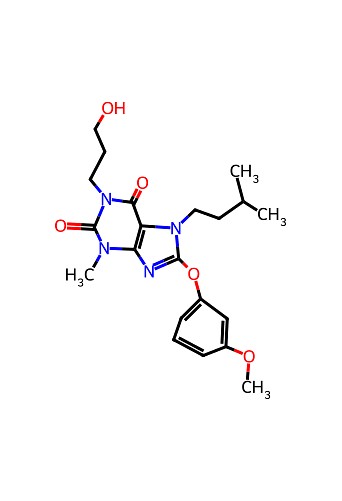 COc1cccc(Oc2nc3c(c(=O)n(CCCO)c(=O)n3C)n2CCC(C)C)c1